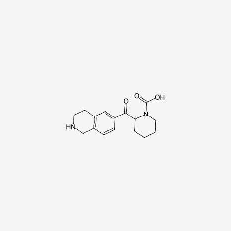 O=C(c1ccc2c(c1)CCNC2)C1CCCCN1C(=O)O